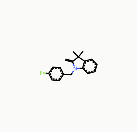 C=C1N(Cc2ccc(F)cc2)c2ccccc2C1(C)C